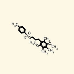 COc1c(C)c(C)c(OC)c(CCCOS(=O)(=O)c2ccc(C)cc2)c1C